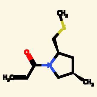 C=CC(=O)N1C[C@@H](C)C[C@@H]1CSC